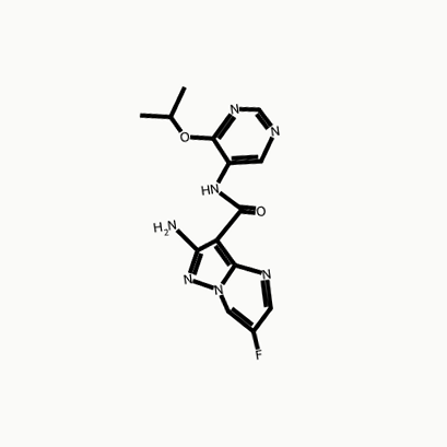 CC(C)Oc1ncncc1NC(=O)c1c(N)nn2cc(F)cnc12